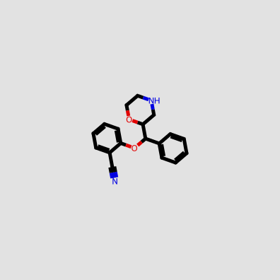 N#Cc1ccccc1OC(c1ccccc1)C1CNCCO1